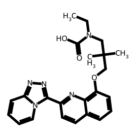 CCN(CC(C)(C)COc1cccc2ccc(-c3nnc4ccccn34)nc12)C(=O)O